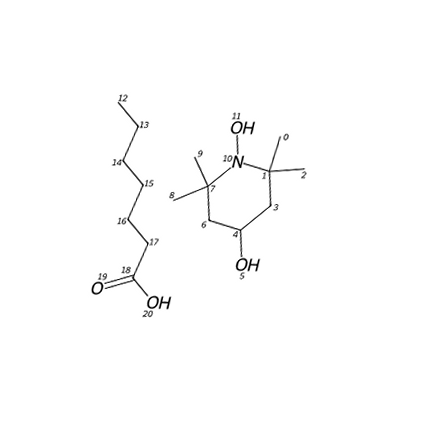 CC1(C)CC(O)CC(C)(C)N1O.CCCCCCC(=O)O